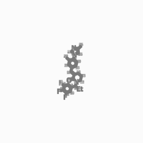 CCC(c1cc(F)c(F)c(F)c1)N1CCC/C(=C\c2ccc(-n3cnc(C)c3)c(C)c2)C1=O